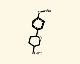 CCCCCC1CCC(c2ccc(OCCCC)cc2)OC1